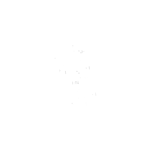 CC(c1c[nH]c(=O)c2cc(F)c(F)cc12)N(C)C(=O)Nc1cc(Cl)c(F)c(Cl)c1